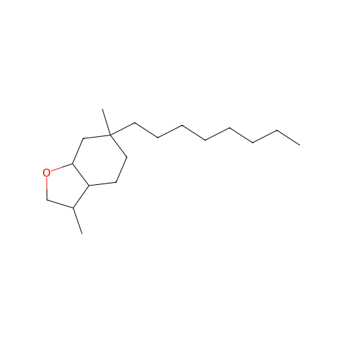 CCCCCCCCC1(C)CCC2C(C)COC2C1